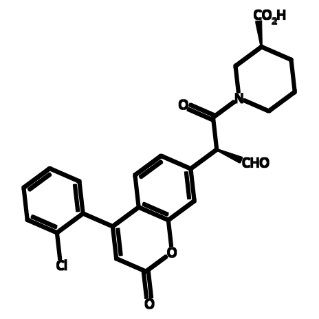 O=C[C@H](C(=O)N1CCC[C@H](C(=O)O)C1)c1ccc2c(-c3ccccc3Cl)cc(=O)oc2c1